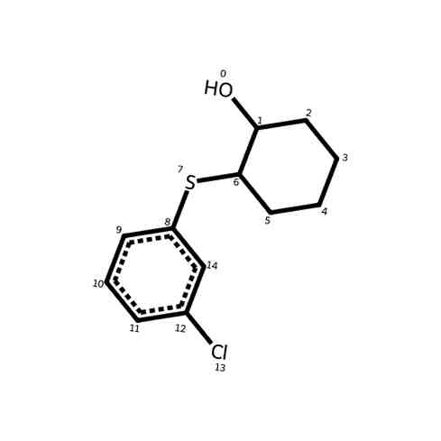 OC1CCCCC1Sc1cccc(Cl)c1